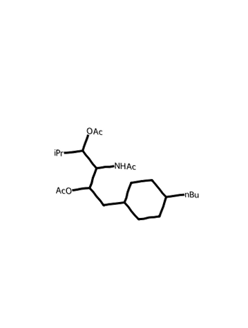 CCCCC1CCC(CC(OC(C)=O)C(NC(C)=O)C(OC(C)=O)C(C)C)CC1